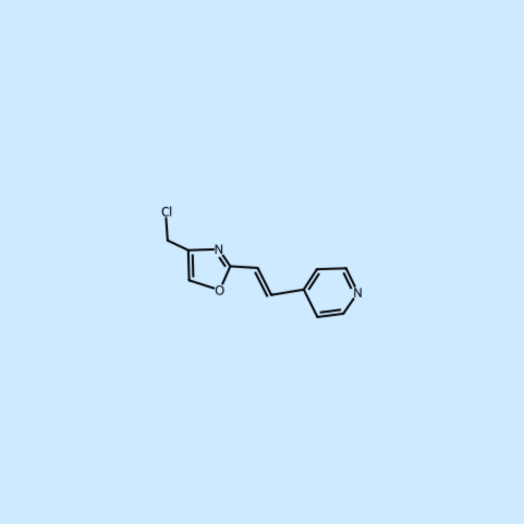 ClCc1coc(C=Cc2ccncc2)n1